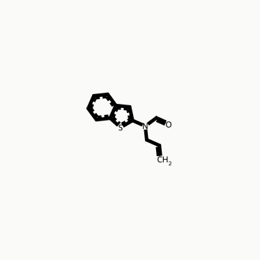 C=CCN([C]=O)c1cc2ccccc2s1